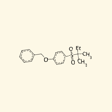 CCC(C)(C)S(=O)(=O)c1ccc(OCc2ccccc2)cc1